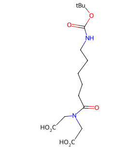 CC(C)(C)OC(=O)NCCCCCC(=O)N(CC(=O)O)CC(=O)O